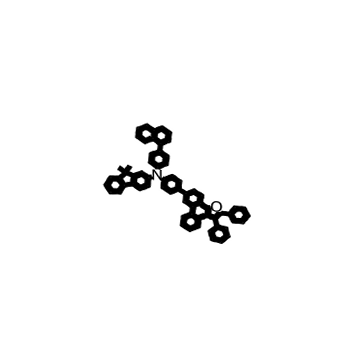 CC1(C)c2ccccc2-c2ccc(N(c3ccc(-c4ccc5c(c4)c4ccccc4c4c(-c6ccccc6)c(-c6ccccc6)oc54)cc3)c3ccc(-c4cccc5ccccc45)cc3)cc21